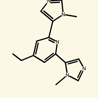 CCc1cc(-c2cncn2C)nc(-c2cncn2C)c1